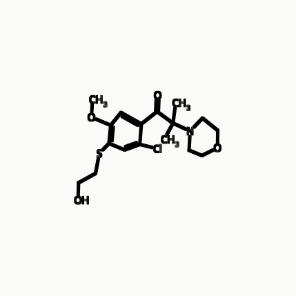 COc1cc(C(=O)C(C)(C)N2CCOCC2)c(Cl)cc1SCCO